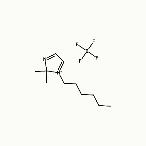 CCCCCC[N+]1=CC=NC1(C)C.F[B-](F)(F)F